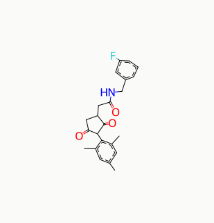 Cc1cc(C)c(C2C(=O)CC(CC(=O)NCc3cccc(F)c3)C2=O)c(C)c1